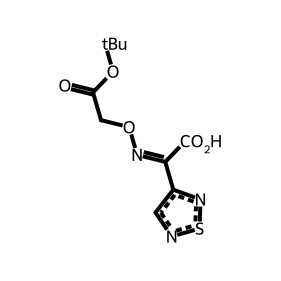 CC(C)(C)OC(=O)CON=C(C(=O)O)c1cnsn1